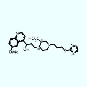 COc1ccc2nccc(C(O)CC[C@@H]3CCN(CCCSc4nccs4)C[C@@H]3C(=O)O)c2c1